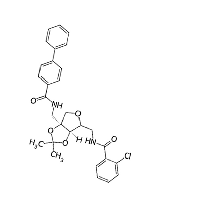 CC1(C)O[C@@H]2C(CNC(=O)c3ccccc3Cl)OC[C@]2(CNC(=O)c2ccc(-c3ccccc3)cc2)O1